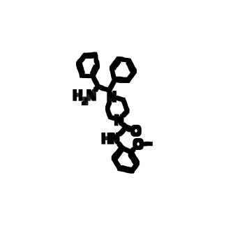 COc1ccccc1NC(=O)N1CCN([C@H](c2ccccc2)[C@@H](N)c2ccccc2)CC1